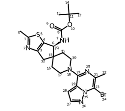 Cc1nc2c(s1)[C@@H](NC(=O)OC(C)(C)C)C1(CCN(c3nc(C)c(Br)n4nccc34)CC1)C2